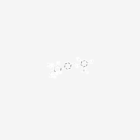 CC(NC(=O)c1ccc(COc2c(N)cc(Cl)cc2Cl)cc1)C(=O)CN